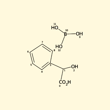 O=C(O)C(O)c1ccccc1.OB(O)O